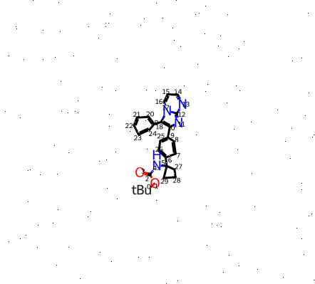 CC(C)(C)OC(=O)NC1(c2ccc(-c3nc4ncccn4c3-c3ccccc3)cc2)CCC1